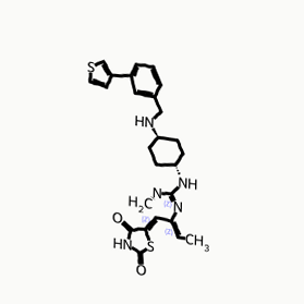 C=N\C(=N/C(=C\C)/C=C1\SC(=O)NC1=O)N[C@H]1CC[C@H](NCc2cccc(-c3ccsc3)c2)CC1